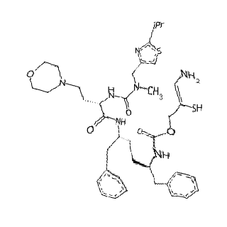 CC(C)c1nc(CN(C)C(=O)N[C@@H](CCN2CCOCC2)C(=O)N[C@H](CC[C@H](Cc2ccccc2)NC(=O)OC/C(S)=C/N)Cc2ccccc2)cs1